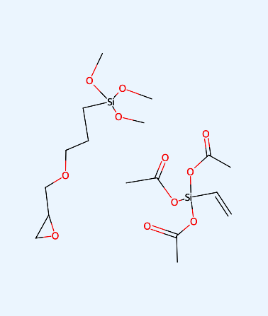 C=C[Si](OC(C)=O)(OC(C)=O)OC(C)=O.CO[Si](CCCOCC1CO1)(OC)OC